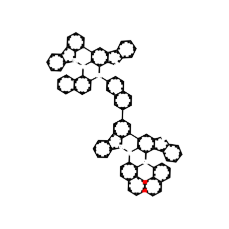 c1ccc2c(N3c4c(ccc5ccccc45)B4c5c(cc6sc7ccccc7c6c53)-c3cc(-c5ccc6ccc(N7c8ccc9ccccc9c8B8c9c(cc%10c(sc%11ccccc%11%10)c97)-c7cccc9c%10ccccc%10n8c79)cc6c5)cc5c6ccccc6n4c35)cccc2c1